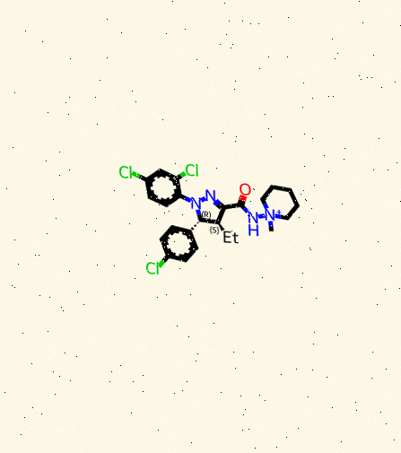 CC[C@@H]1C(C(=O)N[N+]2(C)CCCCC2)=NN(c2ccc(Cl)cc2Cl)[C@H]1c1ccc(Cl)cc1